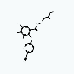 N#Cc1ccc(Nc2c(C(=O)NOCC(O)CO)cc(Br)c(F)c2F)cn1